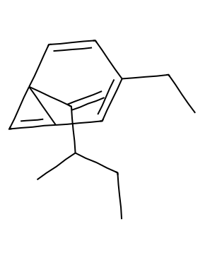 C=C(C(C)CC)C12C=CC(CC)=CC1=C2